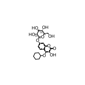 O=c1oc2cc(O[C@@H]3O[C@H](CO)[C@@H](O)[C@H](O)[C@@H]3O)ccc2c(OC2CCCCC2)c1O